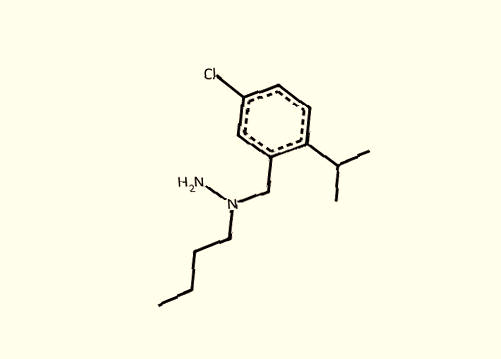 CCCCN(N)Cc1cc(Cl)ccc1C(C)C